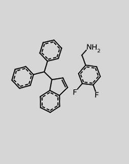 C1=CC(C(c2ccccc2)c2ccccc2)c2ccccc21.NCc1ccc(F)c(F)c1